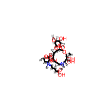 CC[C@H]1OC(=O)[C@H](C)[C@@H](O[C@H]2C[C@@](C)(OC)[C@@H](O)[C@H](C)O2)[C@H](C)[C@@H](O[C@@H]2O[C@H](C)C[C@H](N(C)CCCCC(=O)O)[C@H]2O)[C@](C)(O)C[C@@H](C)CN(C)[C@H](C)[C@@H](O)[C@]1(C)O